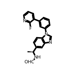 C[C@H](NC=O)c1ccc2c(c1)ncn2-c1cccc(-c2cccnc2F)c1